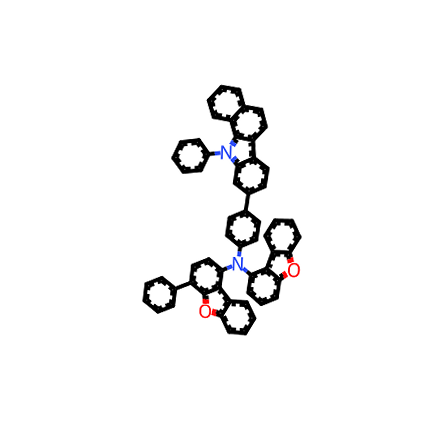 c1ccc(-c2ccc(N(c3ccc(-c4ccc5c6ccc7ccccc7c6n(-c6ccccc6)c5c4)cc3)c3cccc4oc5ccccc5c34)c3c2oc2ccccc23)cc1